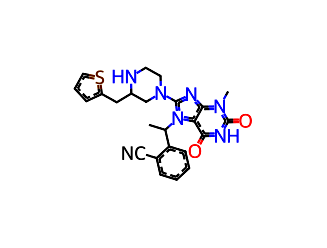 CC(c1ccccc1C#N)n1c(N2CCNC(Cc3cccs3)C2)nc2c1c(=O)[nH]c(=O)n2C